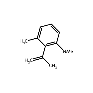 C=C(C)c1c(C)cccc1NC